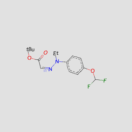 CCN(/N=C\C(=O)OC(C)(C)C)c1ccc(OC(F)F)cc1